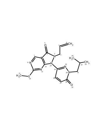 C=CCn1c(=O)c2cnc(SC)nc2n1-c1ccc(=O)n(CC(C)C)n1